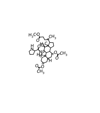 COC(=O)CC[C@@H](C)C1CCC2C3C([C@H](NC(=O)C4CCCN4)C(=O)[C@@]21C)[C@@]1(C)CC[C@@H](OC(C)=O)C[C@H]1C[C@H]3OC(C)=O